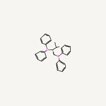 CC(C)[C@@H](CP(c1ccccc1)c1ccccc1)P(c1ccccc1)c1ccccc1